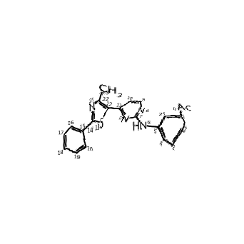 CC(=O)c1cccc(Nc2nccc(-c3sc(-c4ccccc4)nc3C)n2)c1